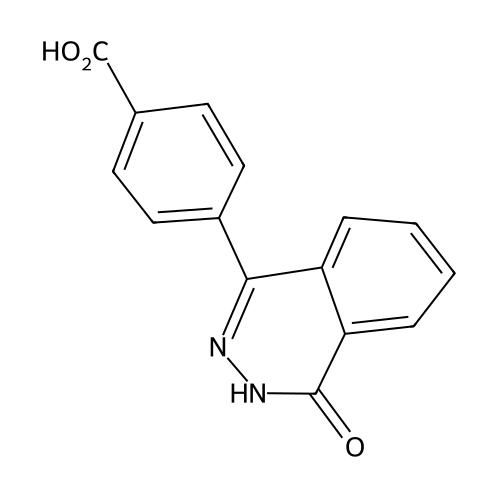 O=C(O)c1ccc(-c2n[nH]c(=O)c3ccccc23)cc1